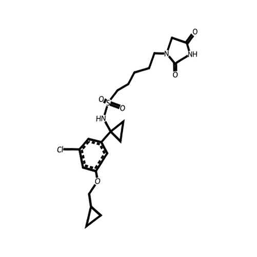 O=C1CN(CCCCCS(=O)(=O)NC2(c3cc(Cl)cc(OCC4CC4)c3)CC2)C(=O)N1